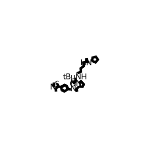 C=C(CCCCCNC(C(=O)N1CCCC1C(=C)NCc1ccc(-c2scnc2C)cc1)C(C)(C)C)NC1CCCC1